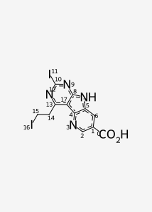 O=C(O)c1cnc2c(c1)[nH]c1nc(I)nc(CCI)c12